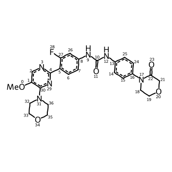 COc1cnc(-c2ccc(NC(=O)Nc3ccc(N4CCOCC4=O)cc3)cc2F)nc1N1CCOCC1